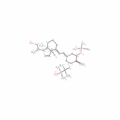 C=C1[C@H](CC(C)(C)[Si](C)(C)O)C/C(=C\C=C2/CCC[C@]3(C)[C@@H]([C@@H](C)CO)CC[C@@H]23)C[C@H]1O[Si](C)(C)C(C)(C)C